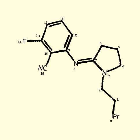 CC(C)CCN1CCC/C1=N\c1cccc(F)c1C#N